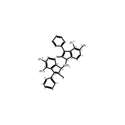 CC1=C(c2ccccc2)c2c(ccc(C(C)C)c2C(C)C)[C]1[SiH2][C]1C(C)=C(c2ccccc2)c2c1ccc(C(C)C)c2C(C)C